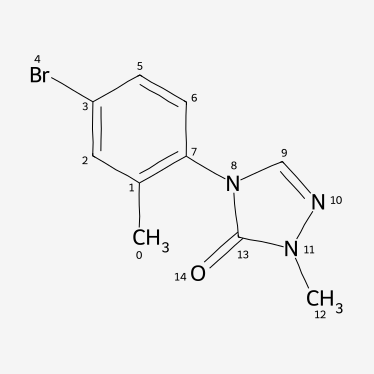 Cc1cc(Br)ccc1-n1cnn(C)c1=O